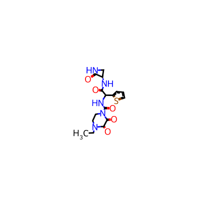 CCN1CCN(C(=O)NC(C(=O)N[C@@H]2CNC2=O)c2cccs2)C(=O)C1=O